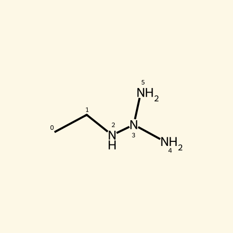 CCNN(N)N